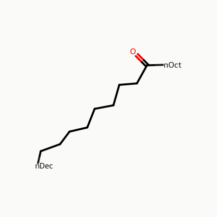 CCCCCCCCCCCCCCCCCCC(=O)CCCCCCCC